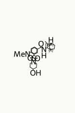 CNc1ccc(C(=O)NC2[C@@H](C)[C@@H]3CC[C@]2(C)C3)cc1S(=O)(=O)N1CCC(O)CC1